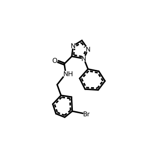 O=C(NCc1cccc(Br)c1)c1ncnn1-c1ccccc1